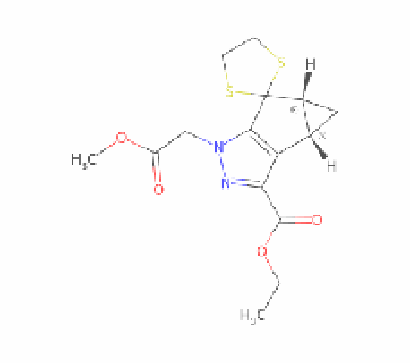 CCOC(=O)c1nn(CC(=O)OC)c2c1[C@H]1C[C@H]1C21SCCS1